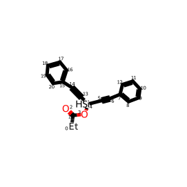 CCC(=O)O[SiH](C#Cc1ccccc1)C#Cc1ccccc1